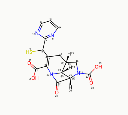 O=C(O)C1=C(C(S)c2ncccn2)C[C@@H]2CN(C(=O)O)[C@@H]3C(=O)N1[C@H]23